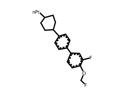 CCCC1CCC(c2ccc(-c3ccc(OCF)c(F)c3)cc2)CC1